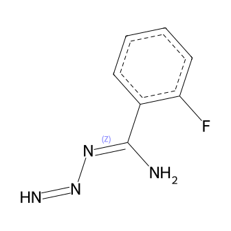 N=N/N=C(\N)c1ccccc1F